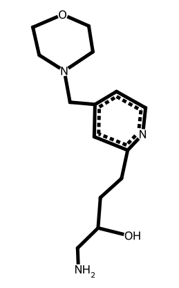 NCC(O)CCc1cc(CN2CCOCC2)ccn1